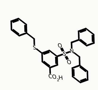 O=C(O)c1cc(SCc2ccccc2)cc(S(=O)(=O)N(Cc2ccccc2)Cc2ccccc2)c1